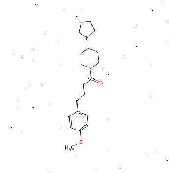 COc1ccc(CCCC(=O)N2CCC(N3CCCC3)CC2)cc1